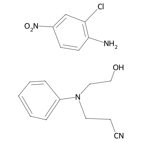 N#CCCN(CCO)c1ccccc1.Nc1ccc([N+](=O)[O-])cc1Cl